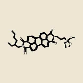 CCCCC(CC)CN1C(=O)c2ccc3c4ccc5c6c(ccc(c7ccc(c2c37)C1=O)c64)C(=O)N(CCC[Si](OC)(OC)OC)C5=O